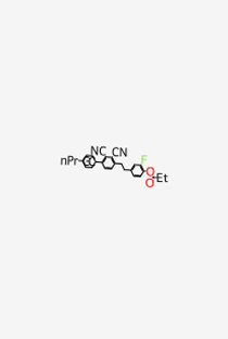 CCCC12CCC(c3ccc(CCc4ccc(OC(=O)CC)c(F)c4)c(C#N)c3C#N)(CC1)CC2